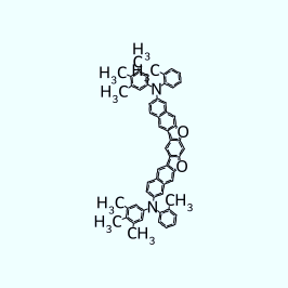 Cc1ccccc1N(c1cc(C)c(C)c(C)c1)c1ccc2cc3c(cc2c1)oc1cc2oc4cc5cc(N(c6cc(C)c(C)c(C)c6)c6ccccc6C)ccc5cc4c2cc13